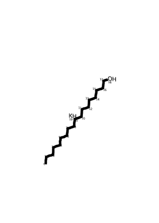 CCCCCCCCCCCCCCCCCCO.[KH]